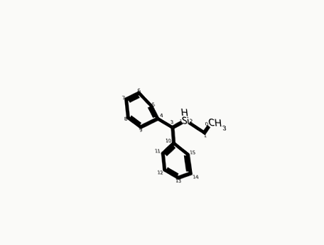 CC[SiH]C(c1ccccc1)c1ccccc1